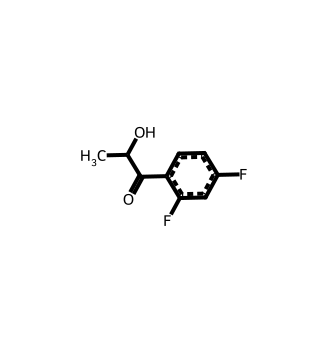 CC(O)C(=O)c1ccc(F)cc1F